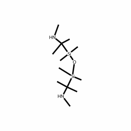 CNC(C)(C)[Si](C)(C)O[Si](C)(C)C(C)(C)NC